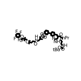 CCCN(CCCNC(=O)OC(C)(C)C)C(=O)C1=Cc2ccc(-c3cccc(S(=O)(=O)N4CC(CNC(=O)CCC(C)(C)OCC(C)(C)C(=O)Oc5c(F)c(F)cc(F)c5F)C4)c3)cc2N=C(N)C1